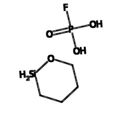 C1CC[SiH2]OC1.O=P(O)(O)F